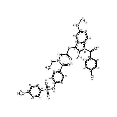 CCN(NC(=O)Cc1c(C)n(C(=O)c2ccc(Cl)cc2)c2ccc(OC)cc12)C(=O)c1ccc(OS(=O)(=O)c2ccc(C)cc2)cc1